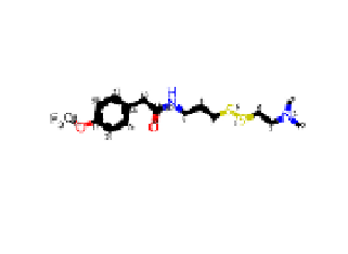 CN(C)CCSSCCCNC(=O)Cc1ccc(OC(F)(F)F)cc1